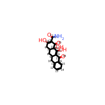 NC(=O)C1=C(O)CC2CC3Cc4ccccc4C(=O)C3=C(O)[C@]2(O)C1=O